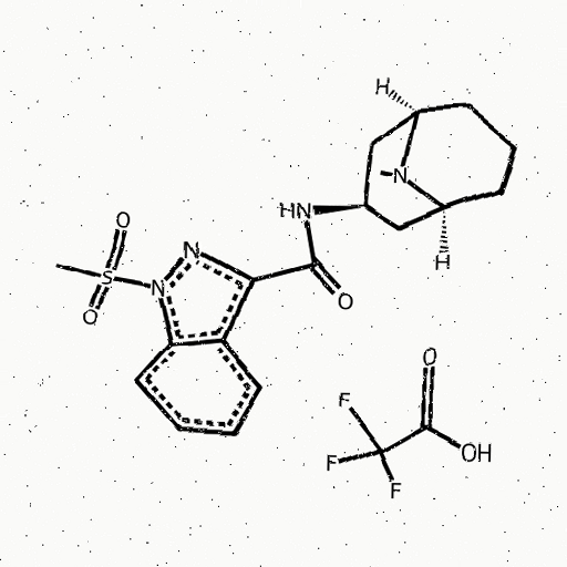 CN1[C@@H]2CCC[C@H]1C[C@@H](NC(=O)c1nn(S(C)(=O)=O)c3ccccc13)C2.O=C(O)C(F)(F)F